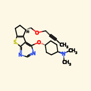 CC#CCOC[C@H]1CCc2sc3ncnc(O[C@H]4CC[C@H](N(C)C)CC4)c3c21